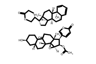 CC(=O)O[C@H]1[C@H]2O[C@]23[C@@H]2CC[C@@H]4C[C@@H](O)CC[C@]4(C)[C@H]2CC[C@]3(C)[C@H]1c1ccc(=O)oc1.C[C@]12CC[C@H]3[C@@H](CCC4C=CC=C[C@@]43C)[C@H]1CC[C@@H]2[C@H]1CCC(=O)OC1